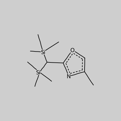 Cc1coc(C([Si](C)(C)C)[Si](C)(C)C)n1